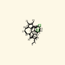 CCC1=CC(C)C(C2(c3ccccc3)C(=[SiH2])C=CC=C3C(C)=C(C)[C]([Hf]([Cl])[Cl])=C32)=C1C